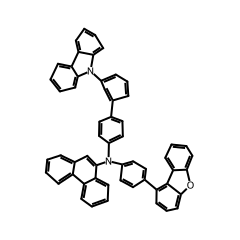 c1cc(-c2ccc(N(c3ccc(-c4cccc5oc6ccccc6c45)cc3)c3cc4ccccc4c4ccccc34)cc2)cc(-n2c3ccccc3c3ccccc32)c1